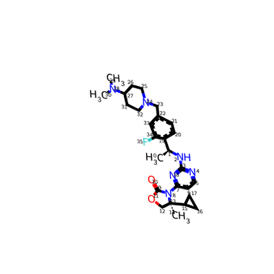 C[C@H](Nc1nccc(N2C(=O)OC[C@]2(C)C2CC2)n1)c1ccc(CN2CCC(N(C)C)CC2)cc1F